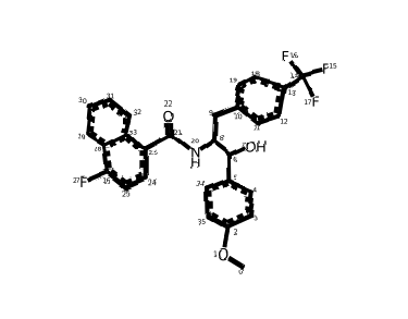 COc1ccc(C(O)C(Cc2ccc(C(F)(F)F)cc2)NC(=O)c2ccc(F)c3ccccc23)cc1